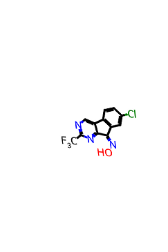 ON=C1c2cc(Cl)ccc2-c2cnc(C(F)(F)F)nc21